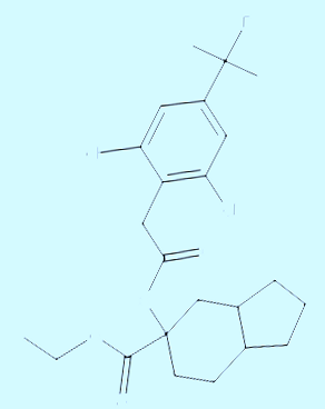 CCOC(=O)C1(OC(=O)Cc2c(Cl)cc(C(F)(F)F)cc2Cl)CCC2CCCC2C1